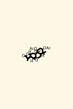 CC(=O)O[C@H]1C[C@H](OC(C)=O)[C@]2(C)[C@H](CC[C@@]34O[C@@H]3C3=C(C)C(=O)O[C@@H]3C[C@H]42)C1(C)C